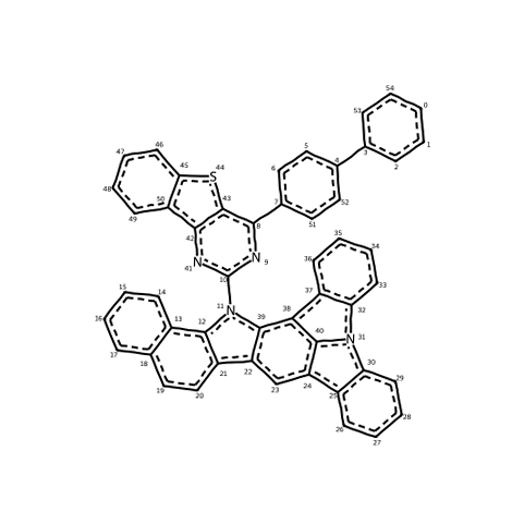 c1ccc(-c2ccc(-c3nc(-n4c5c6ccccc6ccc5c5cc6c7ccccc7n7c8ccccc8c(c54)c67)nc4c3sc3ccccc34)cc2)cc1